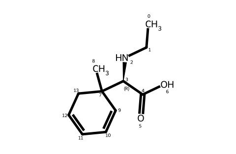 CCN[C@@H](C(=O)O)C1(C)C=CC=CC1